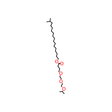 CC(C)CCCCCCCCCCCCCCCOC(=O)CCCOCCOCCOC(C)C